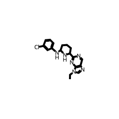 CCn1cnc2cnc(C3CCCC(Nc4cccc(Cl)c4)N3)nc21